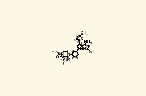 CC(=O)N1CCN(c2cccc(-c3cc(-c4cnc(C)s4)c(/C(N)=N\C=N)[nH]3)c2)C(=O)C1(C)C